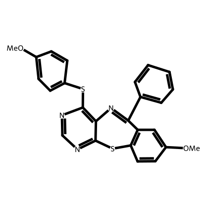 COc1ccc(Sc2ncnc3c2N=C(c2ccccc2)c2cc(OC)ccc2S3)cc1